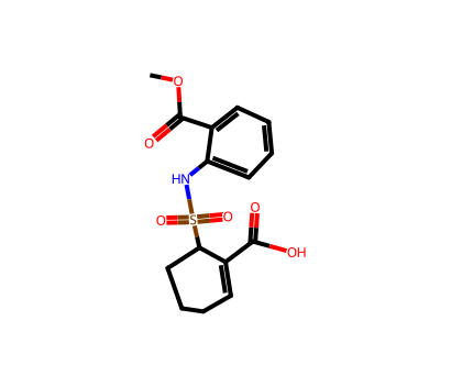 COC(=O)c1ccccc1NS(=O)(=O)C1CCCC=C1C(=O)O